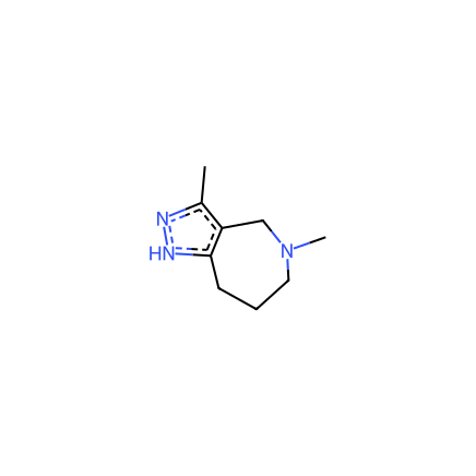 Cc1n[nH]c2c1CN(C)CCC2